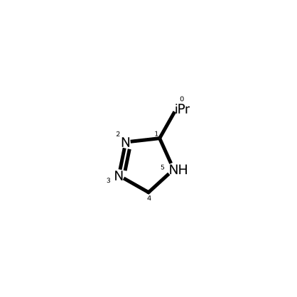 CC(C)C1N=NCN1